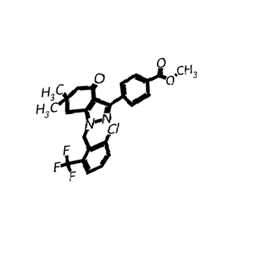 COC(=O)c1ccc(-c2nn(Cc3c(Cl)cccc3C(F)(F)F)c3c2C(=O)CC(C)(C)C3)cc1